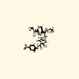 O=CNc1nc(/C(=N/OCC(F)(F)F)C(=O)NC2C(=O)N3C(C(=O)OCc4ccc([N+](=O)[O-])cc4)=C(Cl)CS[C@H]23)cs1